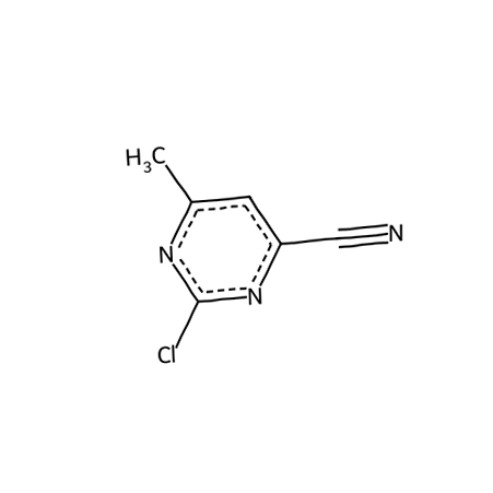 Cc1cc(C#N)nc(Cl)n1